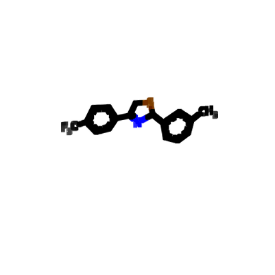 Cc1cccc(C2N=C(c3ccc(C(F)(F)F)cc3)CS2)c1